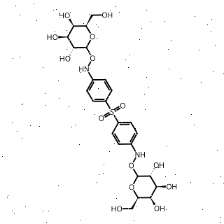 O=S(=O)(c1ccc(NOC2O[C@H](CO)[C@H](O)[C@H](O)[C@H]2O)cc1)c1ccc(NOC2O[C@H](CO)[C@H](O)[C@H](O)[C@H]2O)cc1